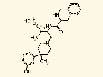 CC(C)C(CN1CCC(C)(c2cccc(O)c2)CC1)NC(=O)C1Cc2ccccc2CN1.Cl.Cl